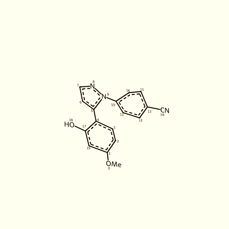 COc1ccc(-c2ccnn2-c2ccc(C#N)cc2)c(O)c1